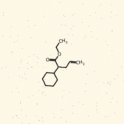 C=CCC(C(=O)OCC)C1CCCCC1